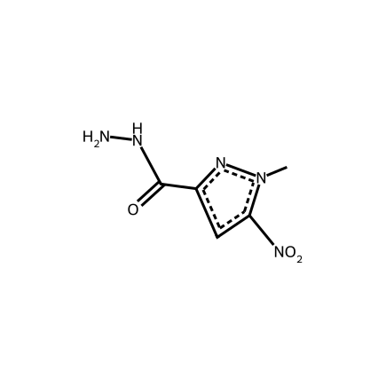 Cn1nc(C(=O)NN)cc1[N+](=O)[O-]